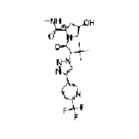 CNC(=O)[C@H]1CC(O)CN1C(=O)C(n1cc(-c2ccc(C(F)(F)F)nc2)nn1)C(C)(C)C